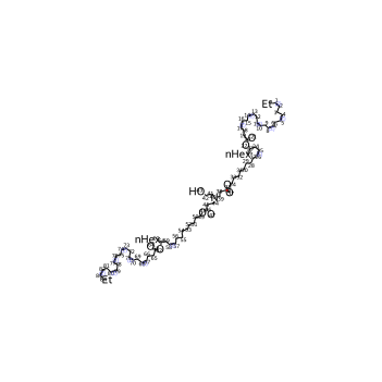 CC/C=C\C/C=C\C/C=C\C/C=C\C/C=C\C/C=C\CCC(=O)OC(C/C=C\CCCCCCCCOC(=O)CCN(CCO)CCC(=O)OCCCCCCCC/C=C\CC(CCCCCC)OC(=O)CC/C=C\C/C=C\C/C=C\C/C=C\C/C=C\C/C=C\CC)CCCCCC